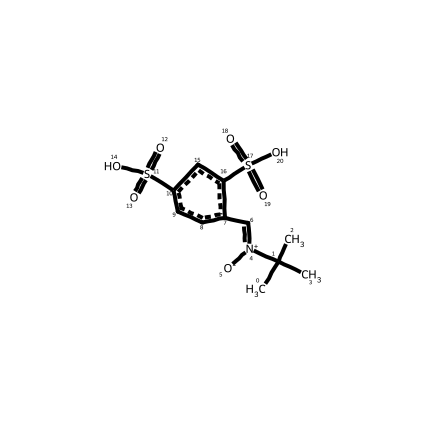 CC(C)(C)[N+]([O-])=Cc1ccc(S(=O)(=O)O)cc1S(=O)(=O)O